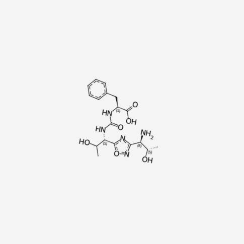 CC(O)[C@H](NC(=O)N[C@@H](Cc1ccccc1)C(=O)O)c1nc([C@@H](N)[C@H](C)O)no1